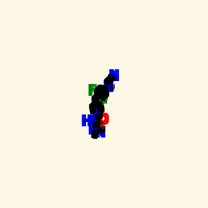 Cc1nsc(NC(=O)N2CCC(=Cc3c(F)cc(N(C)CC#N)cc3F)CC2)n1